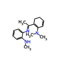 CNc1ccccc1/N=C(\C)C1=C(N(C)C)C=CCC1